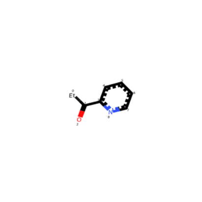 CCC(=O)c1c[c]ccn1